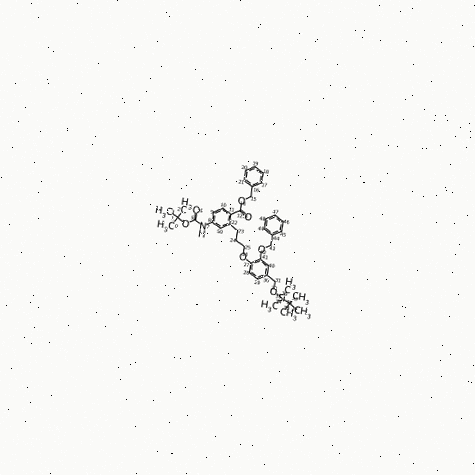 CC(C)(C)OC(=O)Nc1ccc(C(=O)OCc2ccccc2)c(CCCOc2ccc(CO[Si](C)(C)C(C)(C)C)cc2OCc2ccccc2)c1